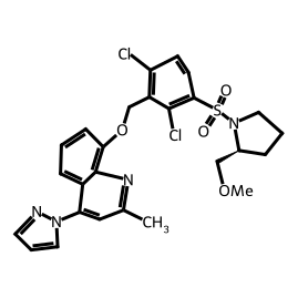 COC[C@@H]1CCCN1S(=O)(=O)c1ccc(Cl)c(COc2cccc3c(-n4cccn4)cc(C)nc23)c1Cl